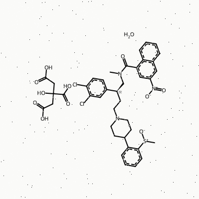 CN(C[C@@H](CCN1CCC(c2ccccc2[S+](C)[O-])CC1)c1ccc(Cl)c(Cl)c1)C(=O)c1cc([N+](=O)[O-])cc2ccccc12.O.O=C(O)CC(O)(CC(=O)O)C(=O)O